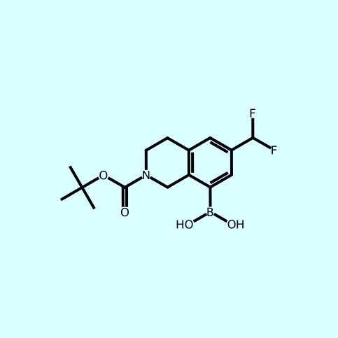 CC(C)(C)OC(=O)N1CCc2cc(C(F)F)cc(B(O)O)c2C1